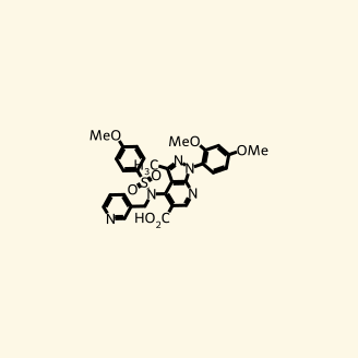 COc1ccc(S(=O)(=O)N(Cc2cccnc2)c2c(C(=O)O)cnc3c2c(C)nn3-c2ccc(OC)cc2OC)cc1